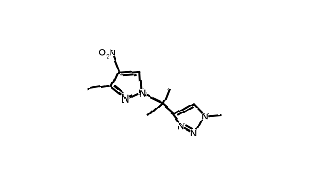 Cc1nn(C(C)(C)c2cn(C)nn2)cc1[N+](=O)[O-]